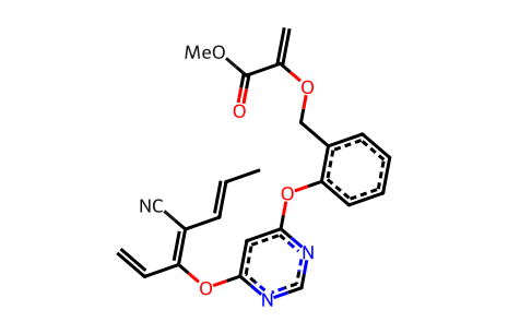 C=CC(Oc1cc(Oc2ccccc2COC(=C)C(=O)OC)ncn1)=C(C#N)C=CC